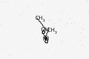 CCCCCCCCCCCCC(C)CCCC(Cc1ccc(O)cc1)n1nc2ccccc2n1